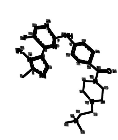 Cc1ncc(-c2nc(Nc3ccc(C(=O)N4CCN(CCN(C)C)CC4)cc3)ncc2F)n1C(C)C